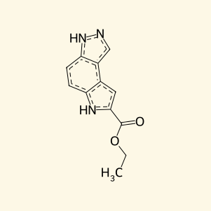 CCOC(=O)c1cc2c(ccc3[nH]ncc32)[nH]1